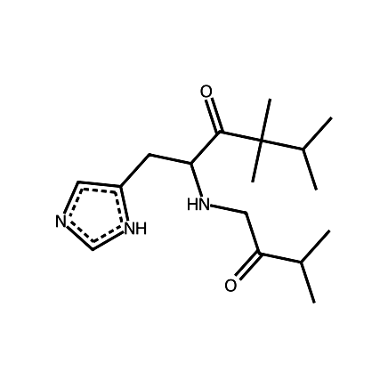 CC(C)C(=O)CNC(Cc1cnc[nH]1)C(=O)C(C)(C)C(C)C